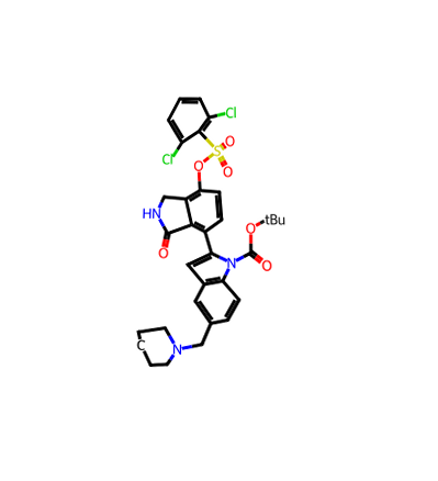 CC(C)(C)OC(=O)n1c(-c2ccc(OS(=O)(=O)c3c(Cl)cccc3Cl)c3c2C(=O)NC3)cc2cc(CN3CCCCC3)ccc21